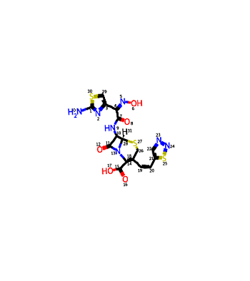 Nc1nc(/C(=N/O)C(=O)NC2C(=O)N3C(C(=O)O)=C(/C=C\c4cnns4)CS[C@H]23)cs1